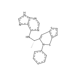 C[C@H](Nc1ncnc2[nH]cnc12)C1=Cc2sccc2SN1c1ccccc1